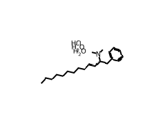 CCCCCCCCCCCC(Cc1ccccc1)N(C)C.Cl.O.O